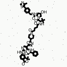 Cc1ncsc1-c1ccc(CNC(=O)[C@@H]2C[C@@H](O)CN2C(=O)[C@@H](NC(=O)CCCC(=O)N2CCC(c3nnc(-c4cnc(Nc5ccc6c(c5)C(C)(C)OC6=O)nc4N[C@H](CO)c4ccccc4)o3)CC2)C(C)(C)C)cc1